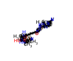 Cc1ncsc1-c1ccc([C@H](C)NC(=O)[C@@H]2C[C@@H](O)CN2C(=O)C(NC(=O)CCCCCCCCCC(=O)N2CCN(c3nnc(-c4cnc(-c5ccc6cc(C#N)cnn56)cc4NC(C)C)s3)CC2)C(C)(C)C)cc1